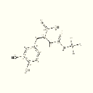 CC(C)(C)OC(=O)N[C@@H](Cc1ccc(O)c(O)c1)C(=O)O